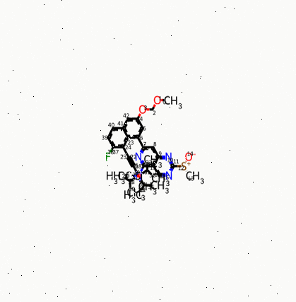 COCOc1cc(-c2cc3nc([S+](C)[O-])ncc3c(N(C)C)n2)c2c(C#C[Si](C(C)C)(C(C)C)C(C)C)c(F)ccc2c1